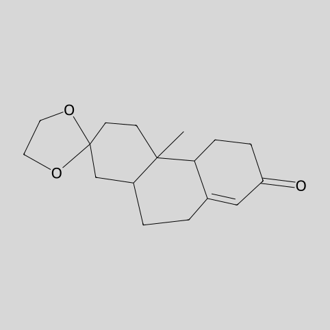 CC12CCC3(CC1CCC1=CC(=O)CCC12)OCCO3